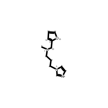 CN(CCCn1ccnc1)Cc1ccco1